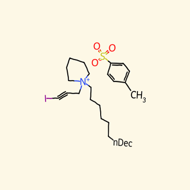 CCCCCCCCCCCCCCCC[N+]1(CC#CI)CCCCC1.Cc1ccc(S(=O)(=O)[O-])cc1